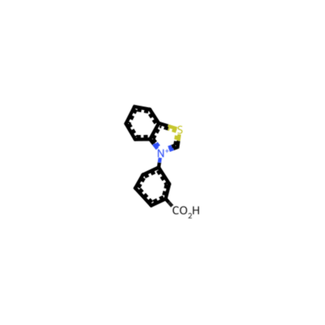 O=C(O)c1cccc(-[n+]2csc3ccccc32)c1